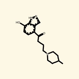 CC1CCN(CCCC(=O)c2ccc(O)c3[nH]ncc23)CC1